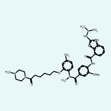 COc1cc(C(=O)N(C)c2ccc(C)cc2OCCCCCC(=O)N2CCN(C)CC2)ccc1NC(=O)c1cccc2[nH]c(NN(C)C)nc12